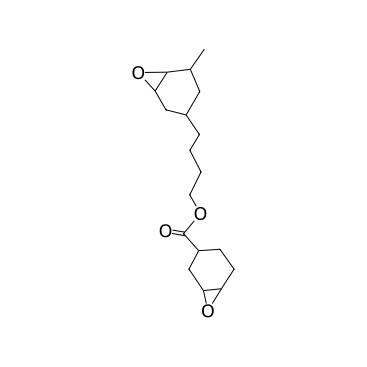 CC1CC(CCCCOC(=O)C2CCC3OC3C2)CC2OC12